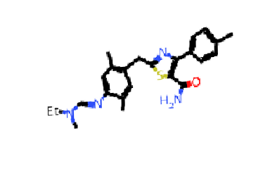 CCN(C)C=Nc1cc(C)c(Cc2nc(-c3ccc(C)cc3)c(C(N)=O)s2)cc1C